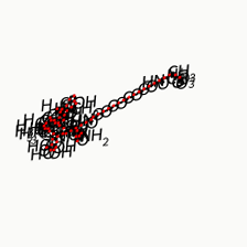 CC[C@H](C)[C@@H]([C@@H](CC(=O)N1CCC[C@H]1[C@H](OC)[C@@H](C)C(=O)N[C@H](C)[C@@H](O)c1ccccc1)OC)N(C)C(=O)[C@@H](NC(=O)[C@H](C(C)C)N(C)C(=O)OCc1ccc(O[C@@H]2O[C@H](C(=O)O)[C@@H](O)[C@H](O)[C@H]2O)c(NC(=O)CCNC(=O)[C@H](CCCCNC(=O)CCOCCOCCOCCOCCOCCOCCOCCOCCNC(=O)CCC[N+](C)(C)CCCS(=O)(=O)[O-])NC(=O)[C@H](CN)N2C(=O)C=CC2=O)c1)C(C)C